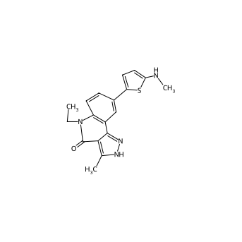 CCn1c(=O)c2c(C)[nH]nc2c2cc(-c3ccc(NC)s3)ccc21